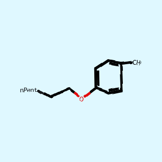 [CH]c1ccc(OCCCCCCC)cc1